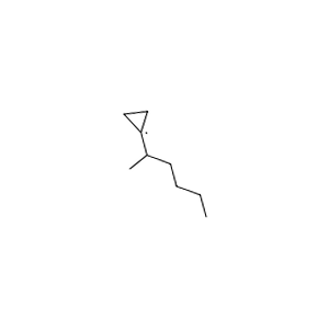 CCCCC(C)[C]1CC1